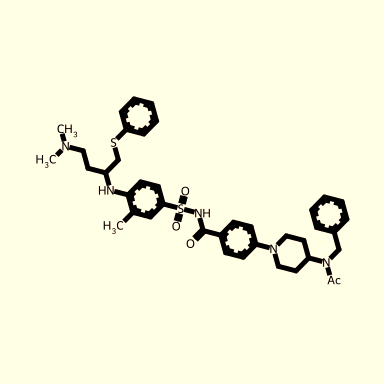 CC(=O)N(Cc1ccccc1)C1CCN(c2ccc(C(=O)NS(=O)(=O)c3ccc(NC(CCN(C)C)CSc4ccccc4)c(C)c3)cc2)CC1